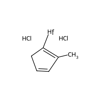 CC1=[C]([Hf])CC=C1.Cl.Cl